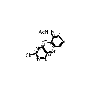 CC(=O)Nc1ccccc1Oc1nc(Cl)ncc1Br